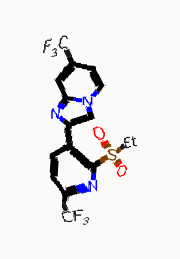 CCS(=O)(=O)c1nc(C(F)(F)F)ccc1-c1cn2ccc(C(F)(F)F)cc2n1